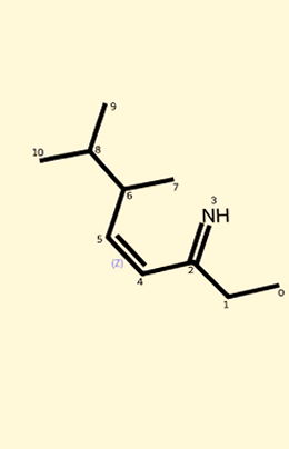 CCC(=N)/C=C\C(C)C(C)C